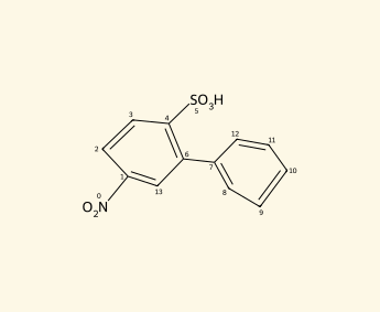 O=[N+]([O-])c1ccc(S(=O)(=O)O)c(-c2ccccc2)c1